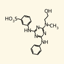 CN(CCO)c1nc(Nc2ccccc2)nc(Nc2cccc(S(=O)(=O)O)c2)n1